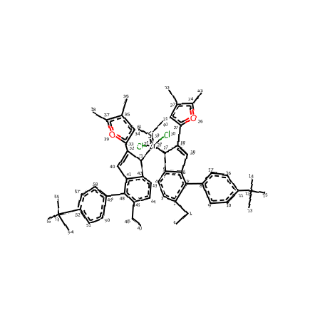 CCc1ccc2c(c1-c1ccc(C(C)(C)C)cc1)C=C(c1cc(C)c(C)o1)[CH]2[Zr]([Cl])([Cl])([CH]1C(c2cc(C)c(C)o2)=Cc2c1ccc(CC)c2-c1ccc(C(C)(C)C)cc1)=[Si](C)C